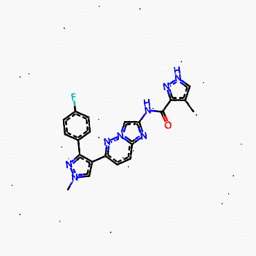 Cc1c[nH]nc1C(=O)Nc1cn2nc(-c3cn(C)nc3-c3ccc(F)cc3)ccc2n1